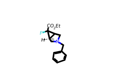 CCOC(=O)C1(F)C2CN(Cc3ccccc3)C[C@H]21